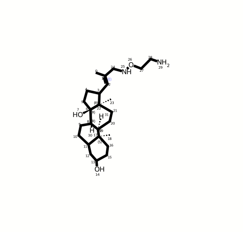 C/C(=C\C1CC[C@@]2(O)[C@@H]3CCC4CC(O)CC[C@]4(C)[C@@H]3CC[C@]12C)CNOCCN